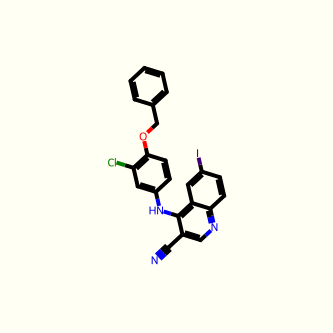 N#Cc1cnc2ccc(I)cc2c1Nc1ccc(OCc2ccccc2)c(Cl)c1